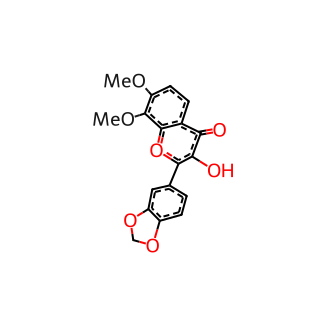 COc1ccc2c(=O)c(O)c(-c3ccc4c(c3)OCO4)oc2c1OC